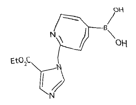 CCOC(=O)c1cncn1-c1cc(B(O)O)ccn1